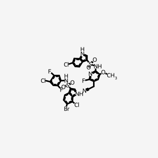 COc1cc(CC#N)c(F)nc1NS(=O)(=O)c1c[nH]c2cc(Cl)ccc12.O=S(=O)(Nc1cc(F)c(Cl)cc1F)c1c[nH]c2c(Cl)c(Br)ccc12